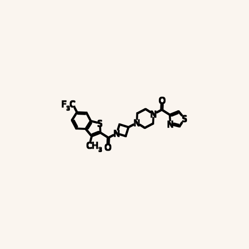 Cc1c(C(=O)N2CC(N3CCN(C(=O)c4cscn4)CC3)C2)sc2cc(C(F)(F)F)ccc12